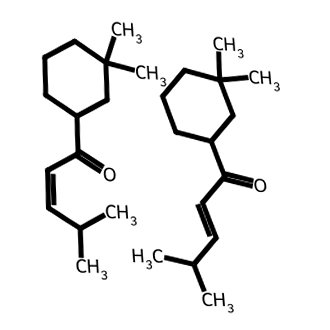 CC(C)/C=C/C(=O)C1CCCC(C)(C)C1.CC(C)/C=C\C(=O)C1CCCC(C)(C)C1